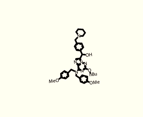 CCCCOc1nc(N(Cc2ccc(OC)cc2)Cc2ccc(OC)cc2)c2ncc(C(O)c3ccc(CN4CCCCC4)cc3)n2n1